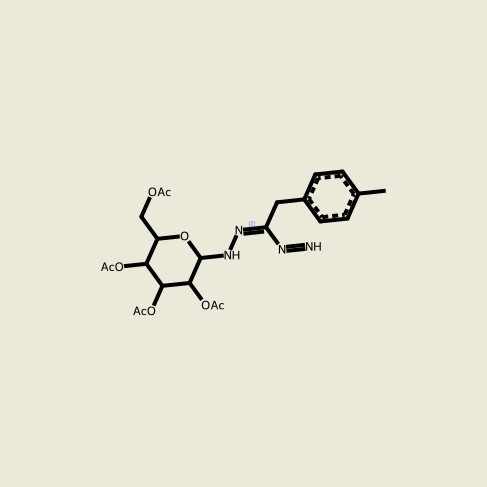 CC(=O)OCC1OC(N/N=C(/Cc2ccc(C)cc2)N=N)C(OC(C)=O)C(OC(C)=O)C1OC(C)=O